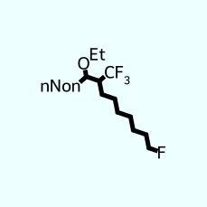 CCCCCCCCCC(OCC)C(CCCCCCCF)C(F)(F)F